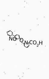 O=Nc1ccccc1-c1ccc(OCc2cccc(C(=O)O)n2)cc1